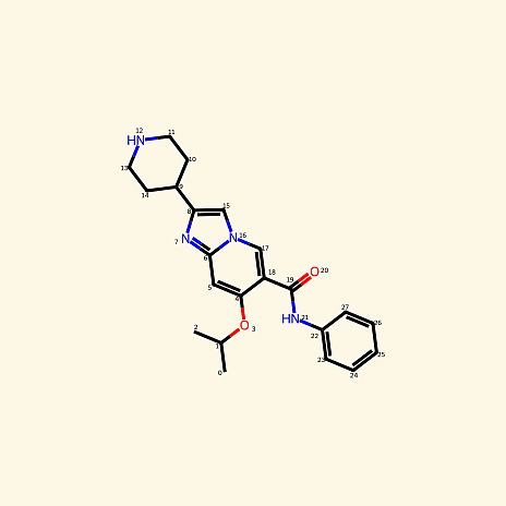 CC(C)Oc1cc2nc(C3CCNCC3)cn2cc1C(=O)Nc1ccccc1